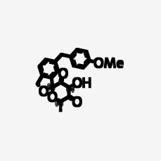 COc1ccc(Cc2ccc3c(c2)[C@]2(OC3)O[C@H](C)C(=O)[C@H](O)C2=O)cc1